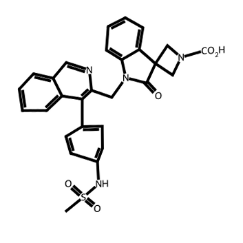 CS(=O)(=O)Nc1ccc(-c2c(CN3C(=O)C4(CN(C(=O)O)C4)c4ccccc43)ncc3ccccc23)cc1